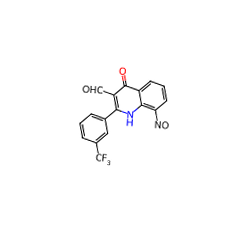 O=Cc1c(-c2cccc(C(F)(F)F)c2)[nH]c2c(N=O)cccc2c1=O